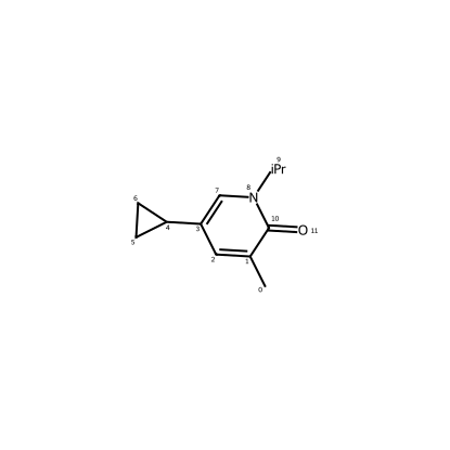 Cc1cc(C2CC2)cn(C(C)C)c1=O